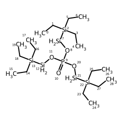 CC[Si](CC)(CC)[SiH2]OP(=O)(O[SiH2][Si](CC)(CC)CC)O[SiH2][Si](CC)(CC)CC